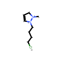 CN1CC=CN1CCCCCl